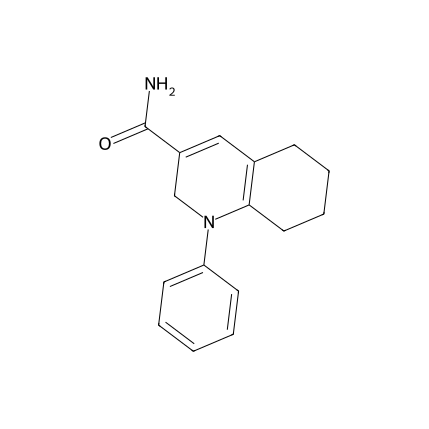 NC(=O)C1=CC2=C(CCCC2)N(c2ccccc2)C1